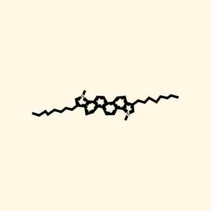 CCCCCCCCc1cn(C)c2c1ccc1c3ccc4c(ccc5c(CCCCCCCC)cn(C)c54)c3ccc12